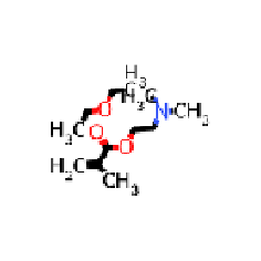 C=C(C)C(=O)OCCN(C)C.CCOCC